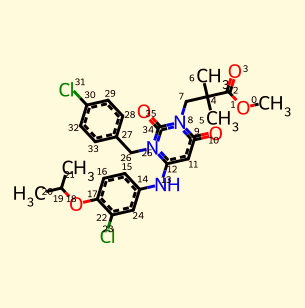 COC(=O)C(C)(C)Cn1c(=O)cc(Nc2ccc(OC(C)C)c(Cl)c2)n(Cc2ccc(Cl)cc2)c1=O